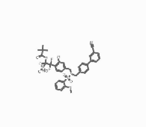 COc1ccccc1S(=O)(=O)N(Cc1ccc(-c2cccc(C#N)c2)cc1)Cc1ccc(C(F)(F)C2(OC(=O)C(C)(C)C)OP2(=O)O)c(Cl)c1